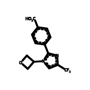 O=C(O)c1ccc(-c2nc(C(F)(F)F)cn2C2COC2)cc1